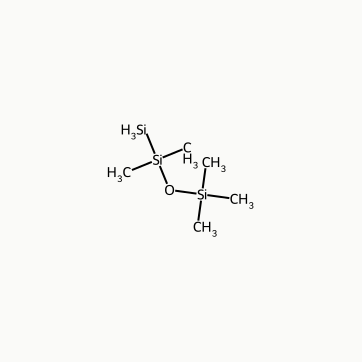 C[Si](C)(C)O[Si](C)(C)[SiH3]